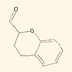 O=CC1CCc2ccccc2O1